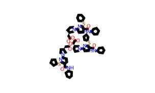 O=C(C[C@H]1CCCN(c2ccc(C(=O)NC3CCCCC3)c(SC3CCCCC3)n2)C1)OC(=O)C(OC(=O)C[C@@H]1CCN(c2ccc(C(=O)NC3CCCCC3)c(SC3CCCC3)n2)C1)[C@H]1CCCN(c2ccc(C(=O)NC3CCCCC3)c(SC3CCCC3)n2)C1